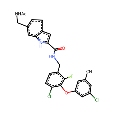 CC(=O)NCc1ccc2cc(C(=O)NCc3ccc(Cl)c(Oc4cc(Cl)cc(C#N)c4)c3F)[nH]c2c1